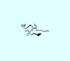 C=CCOS(=O)(=O)O.OCCONOCCO